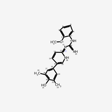 COc1ccccc1NC(=N)/N=c1/ccc(-c2cc(C)c(O)c(C)c2)c[nH]1